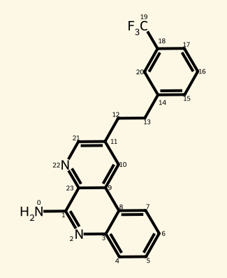 Nc1nc2ccccc2c2cc(CCc3cccc(C(F)(F)F)c3)cnc12